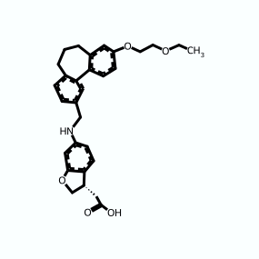 CCOCCOc1ccc2c(c1)CCCc1ccc(CNc3ccc4c(c3)OC[C@H]4CC(=O)O)cc1-2